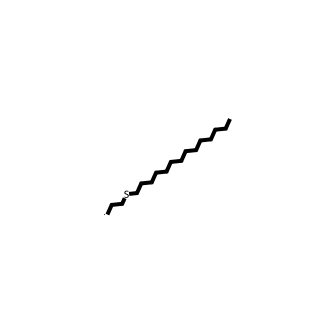 [CH2]CCSCCCCCCCCCCCCCC